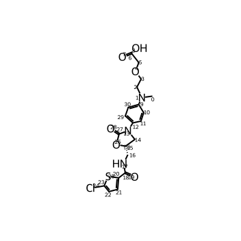 CN(CCOCC(=O)O)c1ccc(N2C[C@H](CNC(=O)c3ccc(Cl)s3)OC2=O)cc1